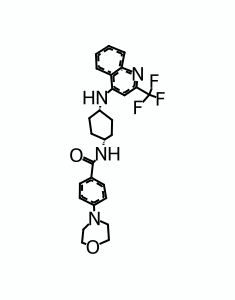 O=C(N[C@H]1CC[C@@H](Nc2cc(C(F)(F)F)nc3ccccc23)CC1)c1ccc(N2CCOCC2)cc1